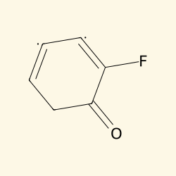 O=C1CC=[C][C]=C1F